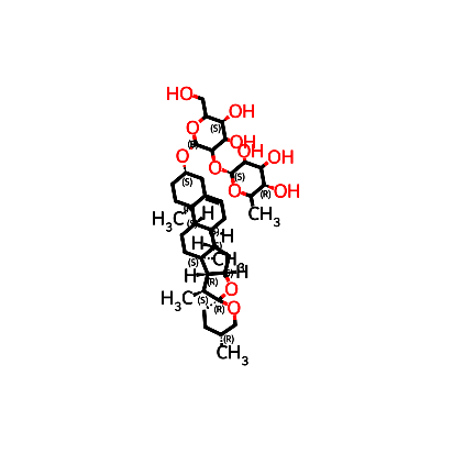 CC1O[C@@H](OC2C(O)[C@H](O)C(CO)O[C@H]2O[C@H]2CC[C@@]3(C)C(=CC[C@H]4[C@@H]5C[C@@H]6O[C@]7(CC[C@@H](C)CO7)[C@@H](C)[C@@H]6[C@@]5(C)CC[C@@H]43)C2)C(O)C(O)[C@H]1O